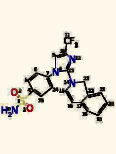 NS(=O)(=O)c1ccc(-n2cc(C(F)(F)F)nc2N2C=Cc3ccccc3C2)cc1